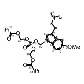 COc1ccc2c(c1)c(CCN(C)C)cn2COP(=O)(OCOC(=O)C(C)C)OCOC(=O)C(C)C